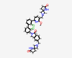 COc1nc(-c2cccc(-c3cccc(N4Cc5cc(CN6CC7(CCC(=O)N7)C6)ccc5C4=O)c3Cl)c2Cl)ccc1CN1CC2(CCC(=O)N2)C1